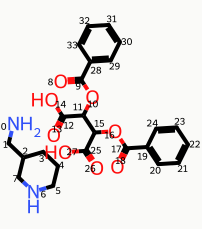 NCC1CCCNC1.O=C(OC(C(=O)O)C(OC(=O)c1ccccc1)C(=O)O)c1ccccc1